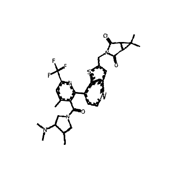 Cc1cc(C(F)(F)F)nc(-c2ccnc3cc(CN4C(=O)C5C(C4=O)C5(C)C)sc23)c1C(=O)N1CC(C)C(N(C)C)C1